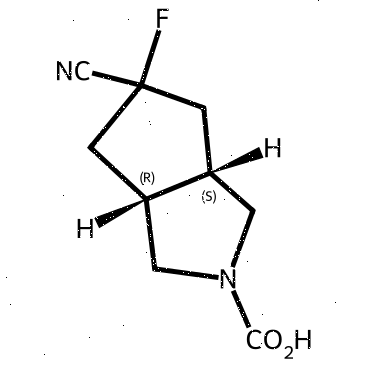 N#CC1(F)C[C@H]2CN(C(=O)O)C[C@H]2C1